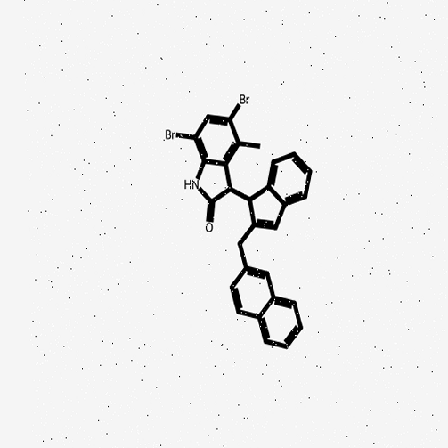 Cc1c(Br)cc(Br)c2c1C(C1C(Cc3ccc4ccccc4c3)=Cc3ccccc31)C(=O)N2